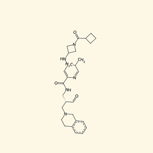 CC(C)/C=N\C(=C/CNC1CN(C(=O)C2CCC2)C1)C(=O)NC[C@H](C=O)CN1CCc2ccccc2C1